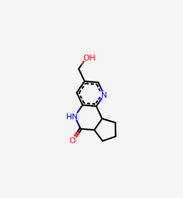 O=C1Nc2cc(CO)cnc2C2CCCC12